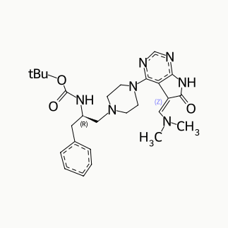 CN(C)/C=C1\C(=O)Nc2ncnc(N3CCN(C[C@@H](Cc4ccccc4)NC(=O)OC(C)(C)C)CC3)c21